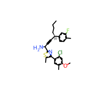 CCCC[C@H](C#CC(N)c1nc(-c2cc(C)c(OC)cc2Cl)c(C)s1)c1ccc(C)c(F)c1